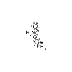 Cc1ccc(OC[C@H](N)Cc2ccccc2)cc1F